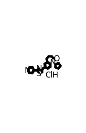 Cl.O=C1CCCc2cc(-c3csc(-c4ccncc4)n3)ccc2N1C1CCCC1